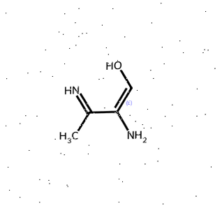 CC(=N)/C(N)=C\O